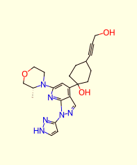 C[C@@H]1COCCN1c1cc(C2(O)CCC(C#CCO)CC2)c2cnn(-c3cc[nH]n3)c2n1